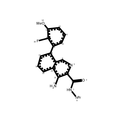 CCCNC(=O)c1ncc2c(-c3cccc(OC)c3F)cccc2c1N